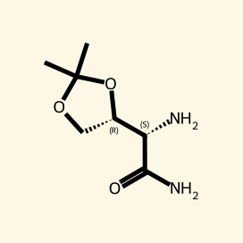 CC1(C)OC[C@@H]([C@H](N)C(N)=O)O1